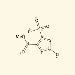 COC(=O)c1cc(Cl)sc1S(=O)(=O)Cl